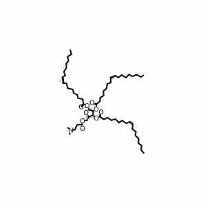 CCCCCCCC/C=C\CCCCCCCC(=O)OC1[C@H](OC(=O)CCCCCCC/C=C\CCCCCCCC)O[C@H](COC(=O)CCN(C)C)[C@@H]1OC(=O)CCCCCCC/C=C\CCCCCCCC